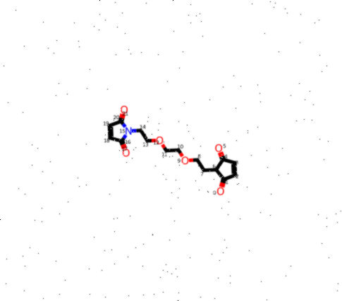 O=C1C=CC(=O)C1CCOCCOCCN1C(=O)C=CC1=O